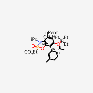 C=C(C)[C@@H]1CCC(C)=C[C@H]1c1c(O[Si](CC)(CC)CC)cc(CCCCC)cc1OP(=O)(C(=O)OCC)N(C(C)C)[C@@H](C)C(=O)O